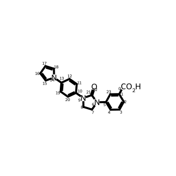 O=C(O)c1cccc(N2CCN(c3ccc(-n4cccc4)cc3)C2=O)c1